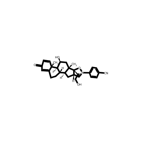 C[C@]12C=CC(=O)C=C1CC[C@H]1[C@@H]3C[C@H]4CN(c5ccc(C#N)cc5)O[C@@]4(C(=O)CO)[C@@]3(C)C[C@H](O)[C@@]12F